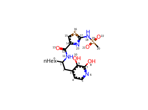 CCCCCCC(Cc1ccnc(O)c1O)NC(=O)c1csc(NS(C)(=O)=O)n1